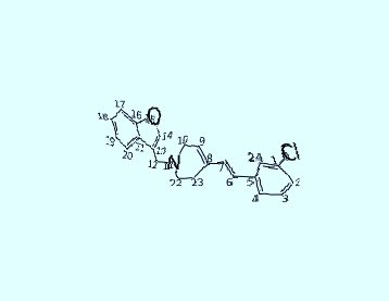 Clc1cccc(/C=C/C2=CCN(Cc3coc4ccccc34)CC2)c1